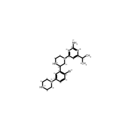 CC(C)c1cc(N2CCNC(c3cc(N4CCNCC4)ccc3Br)C2)nc(N)n1